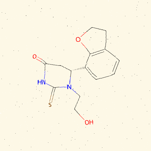 O=C1C[C@H](c2cccc3c2OCC3)N(CCO)C(=S)N1